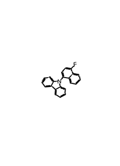 Fc1ccc(-n2c3ccccc3c3ccccc32)c2ccccc12